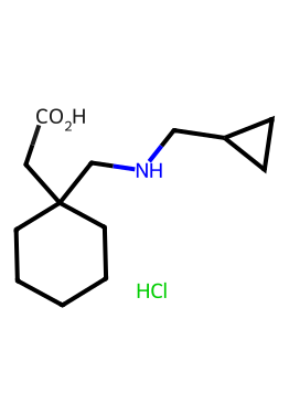 Cl.O=C(O)CC1(CNCC2CC2)CCCCC1